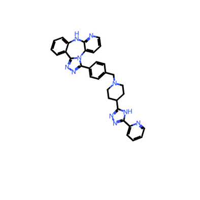 c1ccc(-c2nnc(C3CCN(Cc4ccc(-c5nnc6n5-c5cccnc5Nc5ccccc5-6)cc4)CC3)[nH]2)nc1